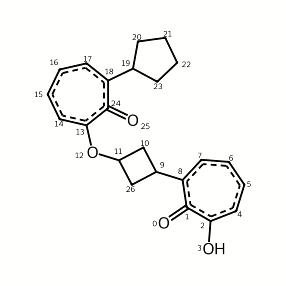 O=c1c(O)ccccc1C1CC(Oc2ccccc(C3CCCC3)c2=O)C1